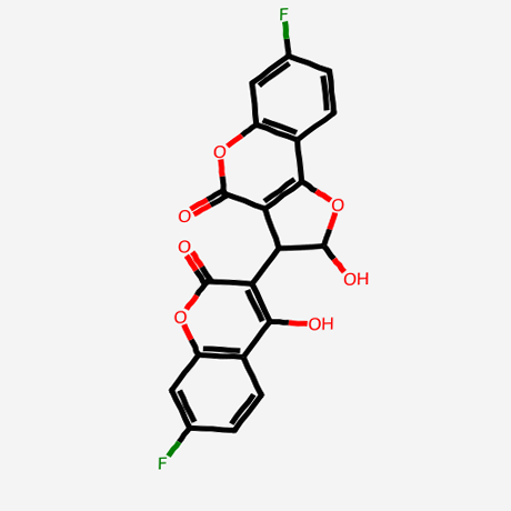 O=c1oc2cc(F)ccc2c(O)c1C1c2c(c3ccc(F)cc3oc2=O)OC1O